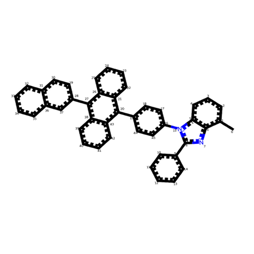 Cc1cccc2c1nc(-c1ccccc1)n2-c1ccc(-c2c3ccccc3c(-c3ccc4ccccc4c3)c3ccccc23)cc1